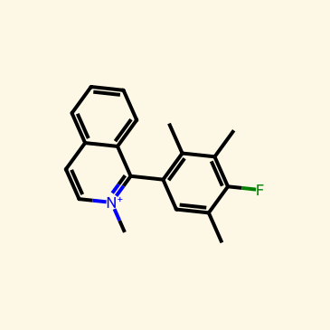 Cc1cc(-c2c3ccccc3cc[n+]2C)c(C)c(C)c1F